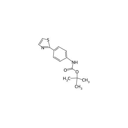 CC(C)(C)OC(=O)Nc1ccc(-c2nccs2)cc1